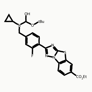 CCOC(=O)c1ccc2c(c1)sc1nc(-c3ccc(CN(C4CC4)C(O)OC(C)(C)C)cc3F)nn12